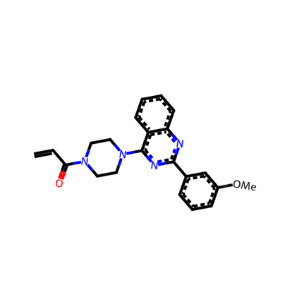 C=CC(=O)N1CCN(c2nc(-c3cccc(OC)c3)nc3ccccc23)CC1